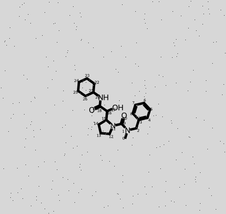 CN(Cc1ccccc1)C(=O)N1CCCC1C(O)C(=O)NC1CCCCC1